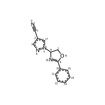 N#Cc1cnn(C2COC(c3ccccc3)=N2)c1